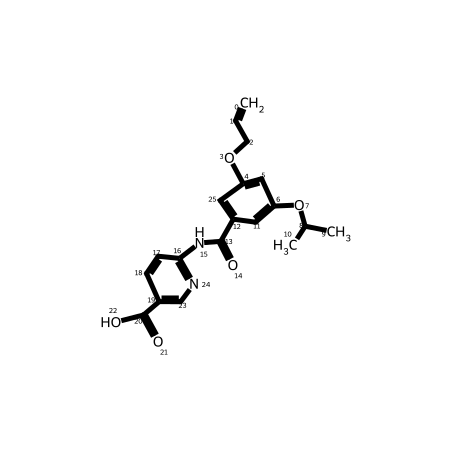 C=CCOc1cc(OC(C)C)cc(C(=O)Nc2ccc(C(=O)O)cn2)c1